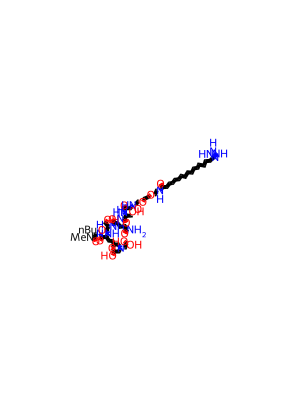 CCCCC(NC(=O)C(CCC1CN(CC(O)O)CC(O)O1)NC(=O)C(CO)NC(=O)C(CCC(N)=O)NC(=O)C(CO)NC(=O)CNC(=O)COCCOCCNC(=O)CCCCCCCCCCCCCCCC1=NNNN1)C(=O)NC